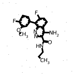 CCCNC(=O)c1nnc2c(-c3ccc(F)c(OC)c3)c(F)ccc2c1N